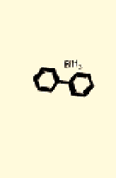 [BiH3].c1ccc(-c2ccccc2)cc1